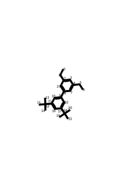 CCc1cc(CC)cc(-c2cc(C(C)(C)C)cc(C(C)(C)C)c2)c1